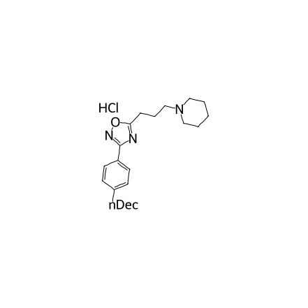 CCCCCCCCCCc1ccc(-c2noc(CCCN3CCCCC3)n2)cc1.Cl